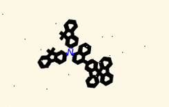 CC1(C)c2ccccc2-c2ccc(N(c3ccc4c(c3)C(C)(C)c3ccccc3-4)c3ccc(-c4ccc5c(c4)-c4ccccc4C54c5ccccc5-c5ccccc54)c4ccccc34)cc21